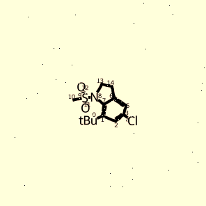 CC(C)(C)c1cc(Cl)cc2c1N(S(C)(=O)=O)CC2